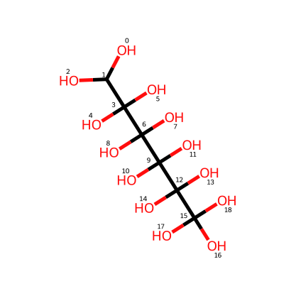 OC(O)C(O)(O)C(O)(O)C(O)(O)C(O)(O)C(O)(O)O